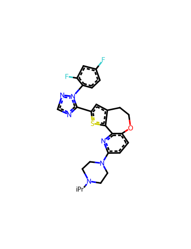 CC(C)N1CCN(c2ccc3c(n2)-c2sc(-c4ncnn4-c4ccc(F)cc4F)cc2CCO3)CC1